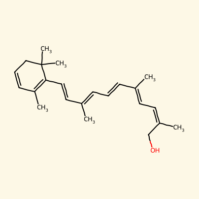 CC(C=CC1=C(C)C=CCC1(C)C)=CC=CC(C)=CC=C(C)CO